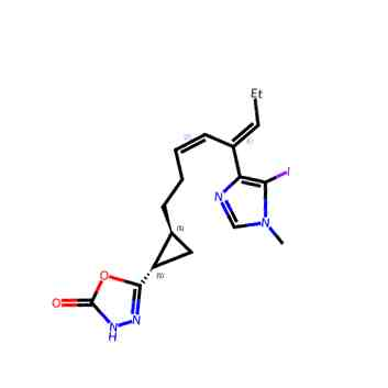 CC/C=C(\C=C/CC[C@H]1C[C@@H]1c1n[nH]c(=O)o1)c1ncn(C)c1I